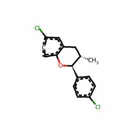 C[C@H]1Cc2cc(Cl)ccc2O[C@@H]1c1ccc(Cl)cc1